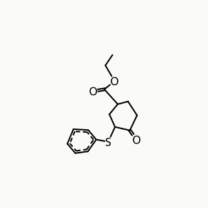 CCOC(=O)C1CCC(=O)C(Sc2ccccc2)C1